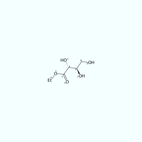 CCOC(=O)[C@H](O)[C@H](O)CO